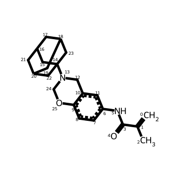 C=C(C)C(=O)Nc1ccc2c(c1)CN(C13CC4CC(CC(C4)C1)C3)CO2